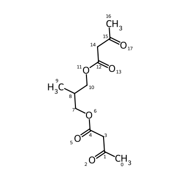 CC(=O)CC(=O)OCC(C)COC(=O)CC(C)=O